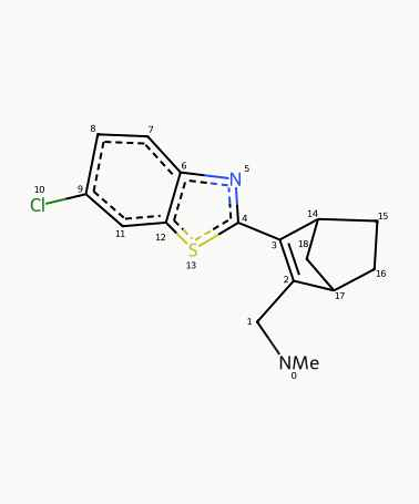 CNCC1=C(c2nc3ccc(Cl)cc3s2)C2CCC1C2